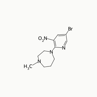 CN1CCCN(c2ncc(Br)cc2[N+](=O)[O-])CC1